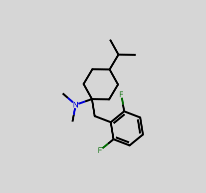 CC(C)C1CCC(Cc2c(F)cccc2F)(N(C)C)CC1